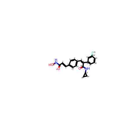 O=C(C=Cc1ccc(C=C(C(=O)NC2CC2)c2cccc(F)c2)cc1)NO